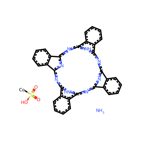 N.O=[S](=O)(O)[Co].c1ccc2c(c1)-c1nc-2nc2[nH]c(nc3nc(nc4[nH]c(n1)c1ccccc41)-c1ccccc1-3)c1ccccc21